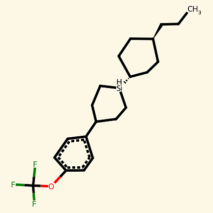 CCC[C@H]1CC[C@H]([SiH]2CCC(c3ccc(OC(F)(F)F)cc3)CC2)CC1